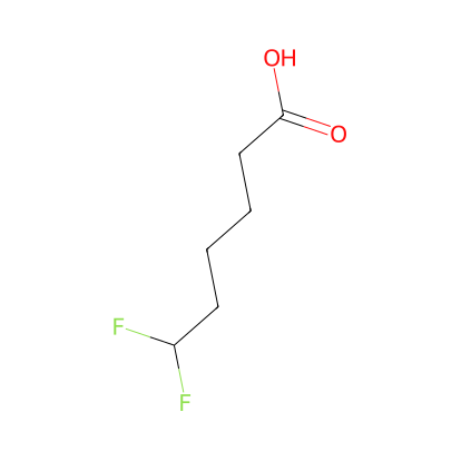 O=C(O)CCCCC(F)F